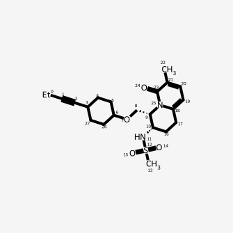 CCC#CC1CCC(OC[C@H]2[C@@H](NS(C)(=O)=O)CCc3ccc(C)c(=O)n32)CC1